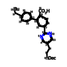 CCCCCCCCCCCCc1cnc(-c2ccc(C(=O)O)c(-c3ccc(CC(C)CC)cc3)c2)nc1